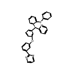 c1ccc(Sc2ccccc2[C@H](c2cccc(Oc3cccc(-c4ncccn4)c3)c2)c2ccccn2)cc1